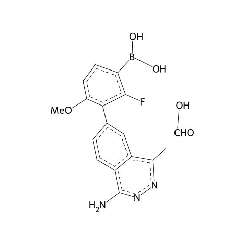 COc1ccc(B(O)O)c(F)c1-c1ccc2c(N)nnc(C)c2c1.O=CO